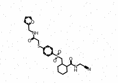 N#CCNC(=O)C1CCCCC1CS(=O)(=O)c1ccc(SCC(=O)NCc2ccco2)cc1